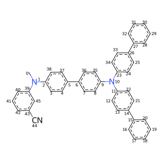 CN(c1ccc(-c2ccc(N(c3ccc(-c4ccccc4)cc3)c3ccc(-c4ccccc4)cc3)cc2)cc1)c1cccc(C#N)c1